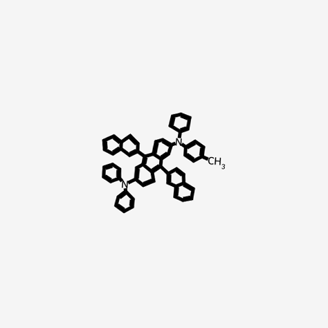 Cc1ccc(N(c2ccccc2)c2ccc3c(-c4ccc5ccccc5c4)c4cc(N(c5ccccc5)c5ccccc5)ccc4c(-c4ccc5ccccc5c4)c3c2)cc1